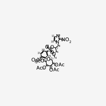 CC(=O)OC1O[C@H](COCC(Cn2ccnc2[N+](=O)[O-])OS(=O)(=O)c2ccc([N+](=O)[O-])cc2)[C@@H](OC(C)=O)[C@H](OC(C)=O)[C@H]1OC(C)=O